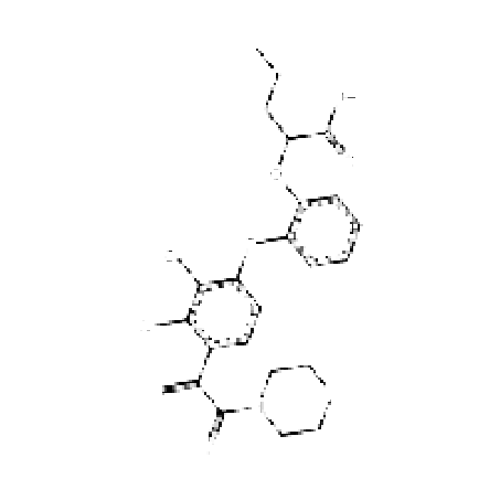 C=C(C(=O)N1CCOCC1)c1ccc(Sc2ccccc2OC(CCC)C(=O)O)c(Cl)c1Cl